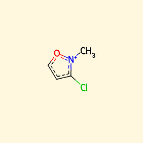 C[n+]1occc1Cl